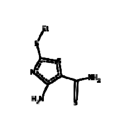 CCSc1nc(N)c(C(N)=S)s1